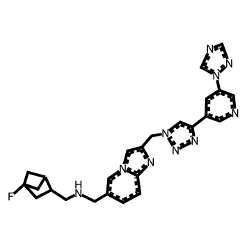 FC12CC(CNCc3ccc4nc(Cn5cc(-c6cncc(-n7cncn7)c6)nn5)cn4c3)C(C1)C2